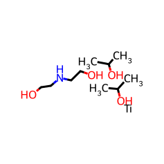 CC(C)O.CC(C)O.OCCNCCO.[Ti]